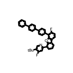 CC(C)(C)c1cnc(-c2cccc3c2oc2c(-c4ccc(-c5ccc(-c6ccccc6)cc5)cc4)c(F)ccc23)cc1F